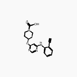 C#Cc1ccccc1Nc1cc(OC2CCN(C(=O)O)CC2)ncn1